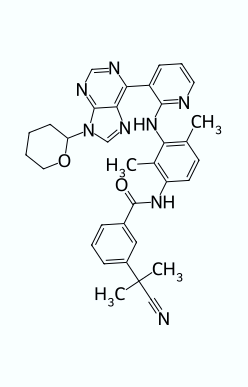 Cc1ccc(NC(=O)c2cccc(C(C)(C)C#N)c2)c(C)c1Nc1ncccc1-c1ncnc2c1ncn2C1CCCCO1